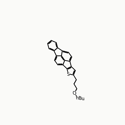 CCCCOCCCc1cc2c(s1)-c1ccc3c4c(ccc-2c14)-c1ccccc1-3